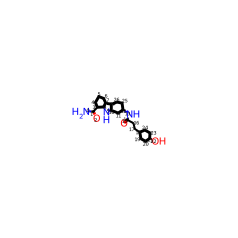 NC(=O)c1cccc2c1[nH]c1cc(NC(=O)CCc3ccc(O)cc3)ccc12